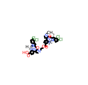 CCN1CCC(NC(=O)c2cc3c(Cl)c(Cl)ccc3n2C)(c2ccc(C(=O)OCCCN3CCC(NC(=O)c4cc5c(Cl)c(Cl)ccc5n4C)(c4ccc(C(=O)O)cc4)C3)cc2)C1